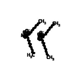 CCCCCCCCCCCCc1cccc(S(=O)(=O)[O-])c1CCCCCCCCCCCC.CCCCCCCCCCCCc1cccc(S(=O)(=O)[O-])c1CCCCCCCCCCCC.[Mg+2]